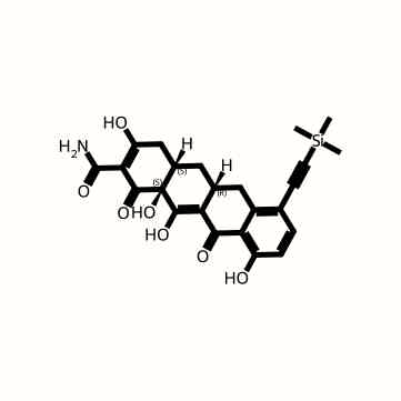 C[Si](C)(C)C#Cc1ccc(O)c2c1C[C@H]1C[C@H]3CC(O)=C(C(N)=O)C(=O)[C@@]3(O)C(O)=C1C2=O